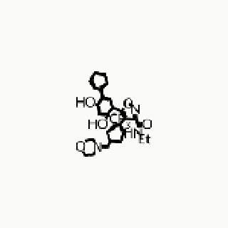 CCNC(=O)c1noc(C2C=C(c3ccccc3)C(O)=CC2(O)C(F)(F)F)c1-c1ccc(CN2CCOCC2)cc1